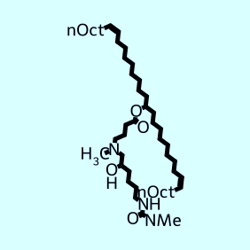 CCCCCCCC/C=C\CCCCCCCCC(CCCCCCCC/C=C\CCCCCCCC)OC(=O)CCCN(C)CC(O)CCCCNC(=O)NC